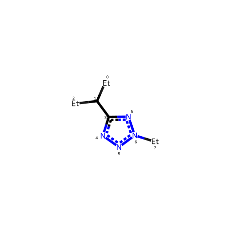 CCC(CC)c1nnn(CC)n1